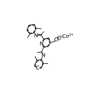 CC(=Nc1c(C)cccc1C)c1cc(C)cc(C(C)=Nc2c(C)cccc2C)n1.[Cl-].[Cl-].[Co+2]